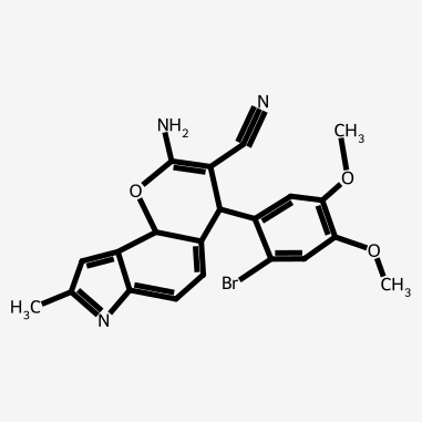 COc1cc(Br)c(C2C3=CC=C4N=C(C)C=C4C3OC(N)=C2C#N)cc1OC